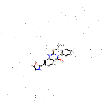 O=C(O)CSc1nc2cc(-c3ncco3)ccc2c(=O)n1-c1ccc(F)cc1